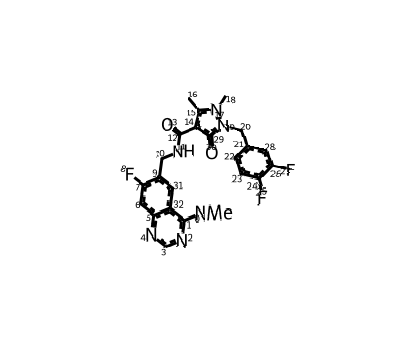 CNc1ncnc2cc(F)c(CNC(=O)c3c(C)n(C)n(Cc4ccc(F)c(F)c4)c3=O)cc12